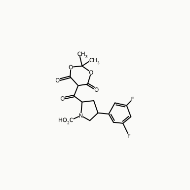 CC1(C)OC(=O)C(C(=O)C2CC(c3cc(F)cc(F)c3)CN2C(=O)O)C(=O)O1